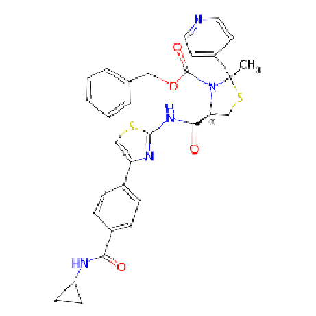 CC1(c2ccncc2)SC[C@@H](C(=O)Nc2nc(-c3ccc(C(=O)NC4CC4)cc3)cs2)N1C(=O)OCc1ccccc1